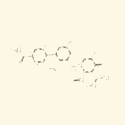 C=Nc1c(/C(N)=N\C)c(=O)c(I)cn1C(C)c1cc(Cl)c(C)c(-c2ccc(C(=O)N(C)C)nc2)c1OC